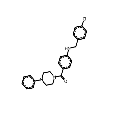 O=C(c1ccc(NCc2ccc(Cl)cc2)cc1)N1CCN(c2ccccc2)CC1